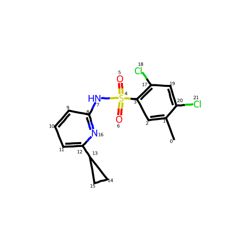 Cc1cc(S(=O)(=O)Nc2cccc(C3CC3)n2)c(Cl)cc1Cl